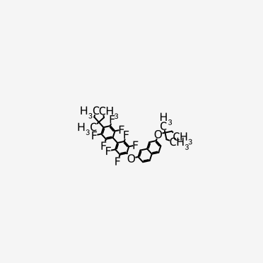 CCC(C)(CC)Oc1ccc2ccc(Oc3c(F)c(F)c(-c4c(F)c(F)c(C(C)(CC)CC)c(F)c4F)c(F)c3F)cc2c1